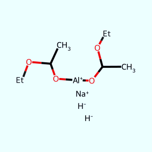 CCOC(C)[O][Al+][O]C(C)OCC.[H-].[H-].[Na+]